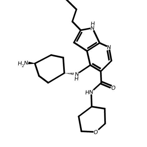 CCCc1cc2c(N[C@H]3CC[C@H](N)CC3)c(C(=O)NC3CCOCC3)cnc2[nH]1